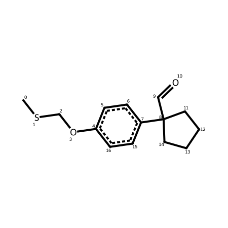 CSCOc1ccc(C2(C=O)CCCC2)cc1